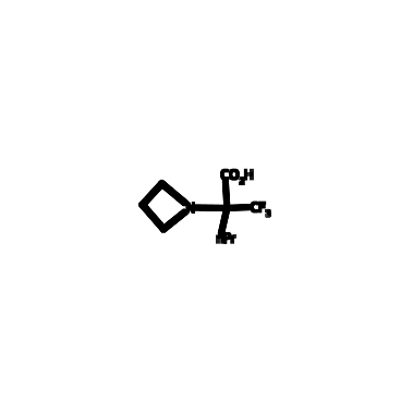 CCCC(C(=O)O)(N1CCC1)C(F)(F)F